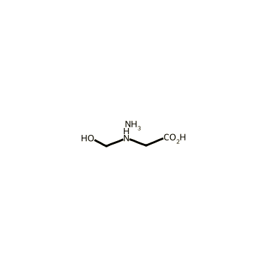 N.O=C(O)CNCO